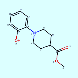 COC(=O)C1CCN(c2ccccc2O)CC1